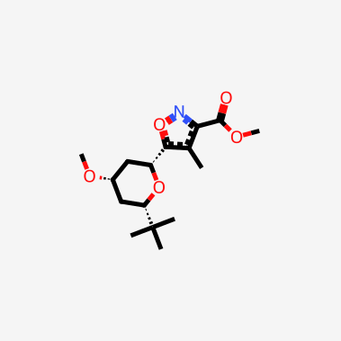 COC(=O)c1noc([C@H]2C[C@@H](OC)C[C@@H](C(C)(C)C)O2)c1C